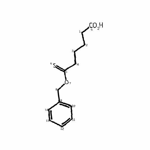 O=C(O)CCCCC(=S)OCc1ccccc1